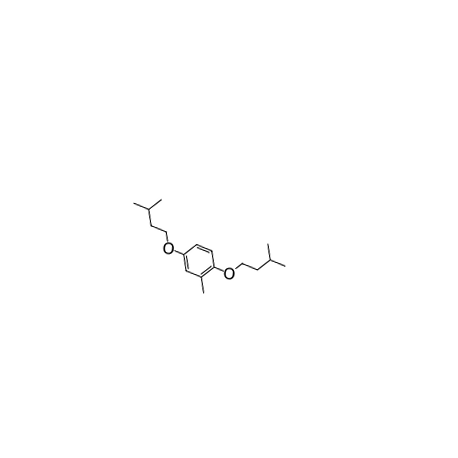 Cc1cc(OCCC(C)C)ccc1OCCC(C)C